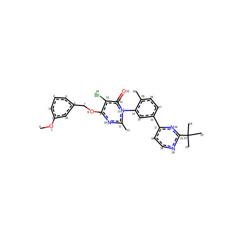 COc1cccc(COc2nc(C)n(-c3cc(-c4ccnc(C(C)(C)C)n4)ccc3C)c(=O)c2Br)c1